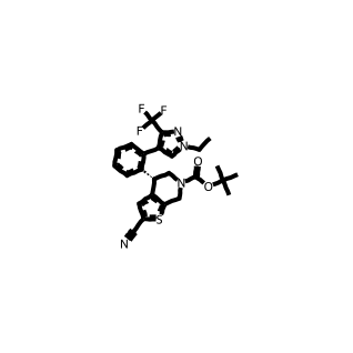 CCn1cc(-c2ccccc2[C@@H]2CN(C(=O)OC(C)(C)C)Cc3sc(C#N)cc32)c(C(F)(F)F)n1